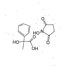 CC(O)(C(=O)O)c1ccccc1.O=C1CCC(=O)N1O